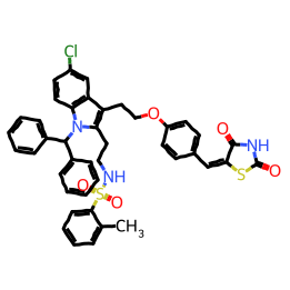 Cc1ccccc1S(=O)(=O)NCCc1c(CCOc2ccc(/C=C3/SC(=O)NC3=O)cc2)c2cc(Cl)ccc2n1C(c1ccccc1)c1ccccc1